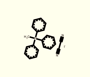 C[P+](c1ccccc1)(c1ccccc1)c1ccccc1.N#CC#N.[I-]